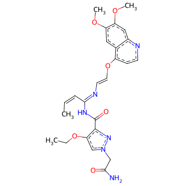 C\C=C/C(=N\C=C\Oc1ccnc2cc(OC)c(OC)cc12)NC(=O)c1nn(CC(N)=O)cc1OCC